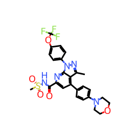 Cc1nn(-c2ccc(OC(F)(F)F)cc2)c2nc(C(=O)NS(C)(=O)=O)cc(-c3ccc(N4CCOCC4)cc3)c12